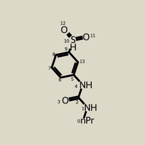 CCCNC(=O)Nc1cccc([SH](=O)=O)c1